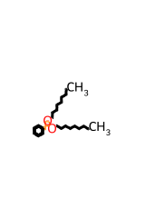 CCCCCCCCCOP(OCCCCCCCCC)c1ccccc1